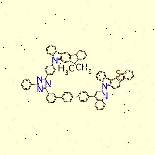 CC1(C)c2ccccc2-c2cc3c4ccccc4n(-c4ccc(-c5nc(-c6ccccc6)nc(-c6cccc(-c7ccc(-c8ccc(-c9cc(-n%10c%11ccccc%11c%11c%12sc%13ccccc%13c%12ccc%11%10)nc%10ccccc9%10)cc8)cc7)c6)n5)cc4)c3cc21